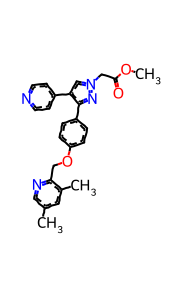 COC(=O)Cn1cc(-c2ccncc2)c(-c2ccc(OCc3ncc(C)cc3C)cc2)n1